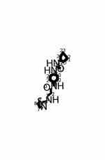 O=C(CCNc1nccs1)Nc1ccc(NC(=O)Nc2ccccc2)cc1